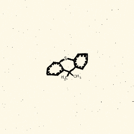 CC1(C)c2c[c]ccc2Sc2ccccc21